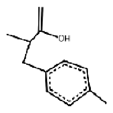 C=C(O)C(C)Cc1ccc(C)cc1